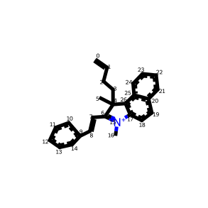 C=CCCC1(C)C(/C=C/c2ccccc2)=[N+](C)c2ccc3ccccc3c21